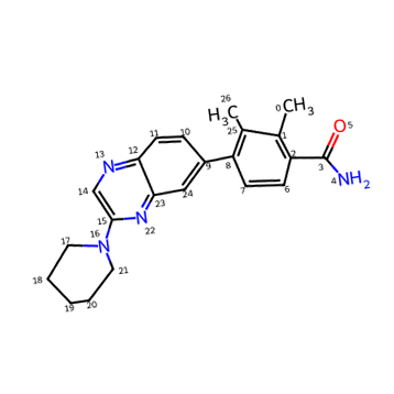 Cc1c(C(N)=O)ccc(-c2ccc3ncc(N4CCCCC4)nc3c2)c1C